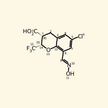 O=C(O)[C@@H]1Cc2cc(Cl)cc(C=NO)c2O[C@@H]1C(F)(F)F